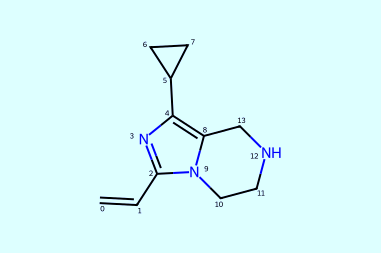 C=Cc1nc(C2CC2)c2n1CCNC2